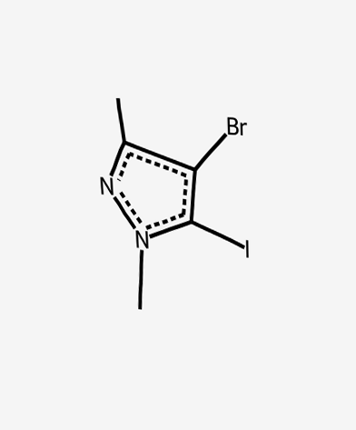 Cc1nn(C)c(I)c1Br